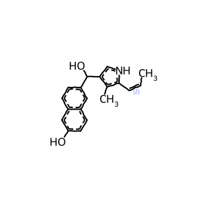 C/C=C\c1[nH]cc(C(O)c2ccc3cc(O)ccc3c2)c1C